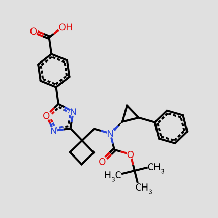 CC(C)(C)OC(=O)N(CC1(c2noc(-c3ccc(C(=O)O)cc3)n2)CCC1)[C@H]1CC1c1ccccc1